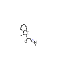 Cc1c(C(=O)/C=C/N(C)C)oc2ccccc12